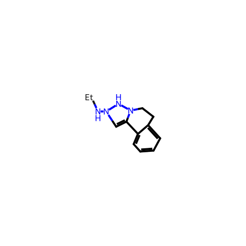 CCNN1C=C2c3ccccc3CCN2N1